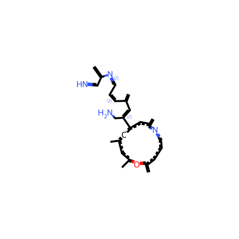 C=C(/C=C\C=N/C(=C)C=N)/C=C(\CN)c1cc(C)cc(C)oc(=C)cccnc(=C)c1